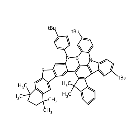 CC(C)(C)c1ccc(N2B3c4cc(C(C)(C)C)ccc4-n4c5ccc(C(C)(C)C)cc5c5c6c(c(c3c54)-c3cc4c(cc32)sc2cc3c(cc24)C(C)(C)CCC3(C)C)C(C)(C)c2ccccc2-6)cc1